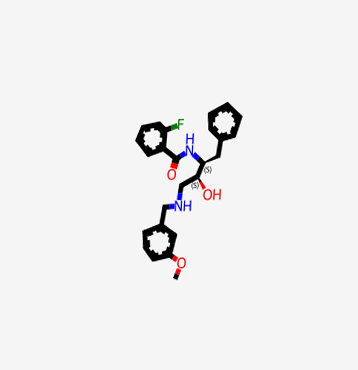 COc1cccc(CNC[C@H](O)[C@H](Cc2ccccc2)NC(=O)c2ccccc2F)c1